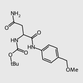 COCc1ccc(NC(=O)C(CC(N)=O)NC(=O)OC(C)(C)C)cc1